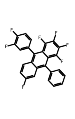 Fc1ccc2c(-c3ccc(F)c(F)c3)c3c(F)c(F)c(F)c(F)c3c(-c3ccccc3)c2c1